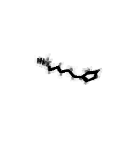 CCCCCCCCCCCC1=[C]CC=C1